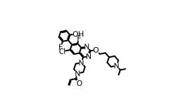 C=CC(=O)N1CCN(c2nc(OCCC3CCN(C(C)C)CC3)nc3c(F)c(-c4c(O)cccc4F)c(Cl)cc23)CC1